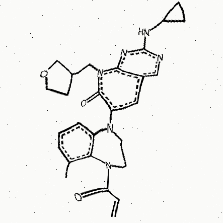 C=CC(=O)N1CCN(c2cc3cnc(NC4CC4)nc3n(CC3CCOC3)c2=O)c2cccc(C)c21